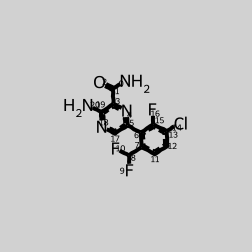 NC(=O)c1nc(-c2c(C(F)F)ccc(Cl)c2F)cnc1N